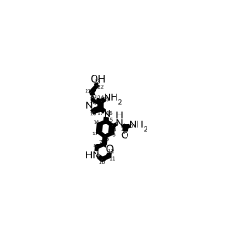 NC(=O)NC1=CC(=C2CNCCO2)C=CC1=Nc1cnn(CCO)c1N